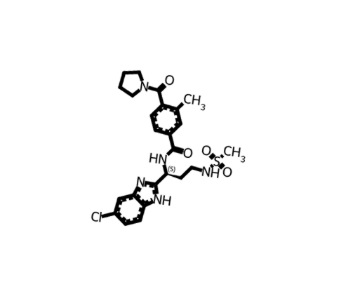 Cc1cc(C(=O)N[C@@H](CCNS(C)(=O)=O)c2nc3cc(Cl)ccc3[nH]2)ccc1C(=O)N1CCCC1